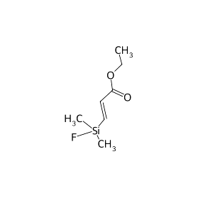 CCOC(=O)C=C[Si](C)(C)F